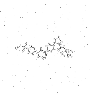 CCS(=O)(=O)c1ccc([C@H](CO)NC(=O)c2ccc(C3CCCN3C(=O)OC(C)(C)C)cc2)cc1